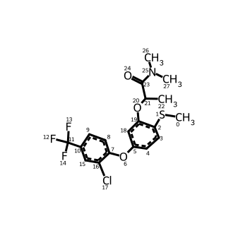 CSc1ccc(Oc2ccc(C(F)(F)F)cc2Cl)cc1OC(C)C(=O)N(C)C